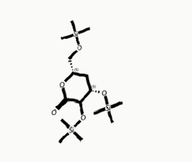 C[Si](C)(C)OC[C@@H]1C[C@H](O[Si](C)(C)C)C(O[Si](C)(C)C)C(=O)O1